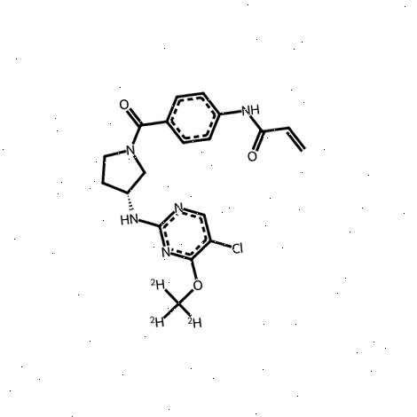 [2H]C([2H])([2H])Oc1nc(N[C@@H]2CCN(C(=O)c3ccc(NC(=O)C=C)cc3)C2)ncc1Cl